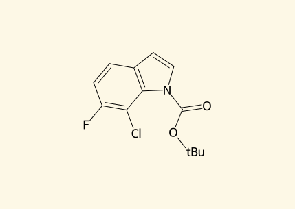 CC(C)(C)OC(=O)n1ccc2ccc(F)c(Cl)c21